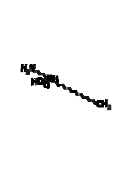 CCCCCCCCCCCCCCCCNC(CCCCN)C(=O)O